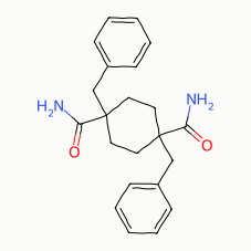 NC(=O)C1(Cc2ccccc2)CCC(Cc2ccccc2)(C(N)=O)CC1